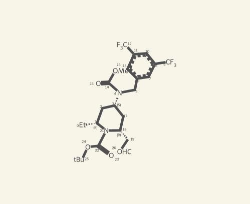 CC[C@@H]1C[C@H](N(Cc2cc(C(F)(F)F)cc(C(F)(F)F)c2)C(=O)OC)C[C@H](CC=O)N1C(=O)OC(C)(C)C